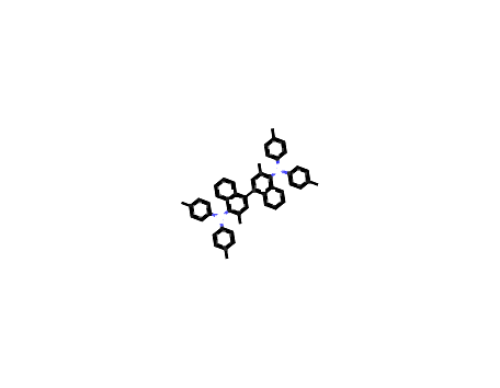 Cc1ccc(N(c2ccc(C)cc2)c2c(C)cc(-c3cc(C)c(N(c4ccc(C)cc4)c4ccc(C)cc4)c4ccccc34)c3ccccc23)cc1